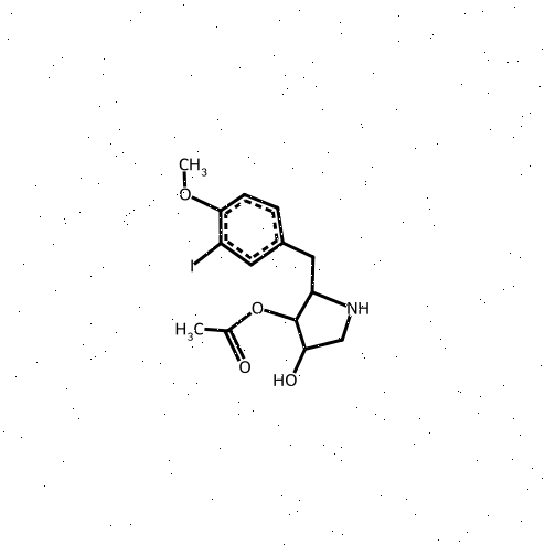 COc1ccc(CC2NCC(O)C2OC(C)=O)cc1I